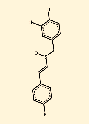 [O-][S+](/C=C/c1ccc(Br)cc1)Cc1ccc(Cl)c(Cl)c1